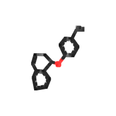 CCC(C)c1ccc(OC2CC=Cc3ccccc32)cc1